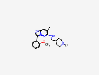 CCN1CCC(CNc2nn3c(-c4ccccc4OC(F)(F)F)cnc3cc2C)CC1